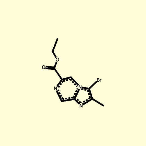 CCOC(=O)c1cn2c(Br)c(C)nc2cn1